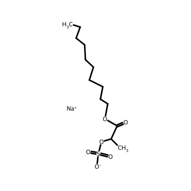 CCCCCCCCCCOC(=O)C(C)OS(=O)(=O)[O-].[Na+]